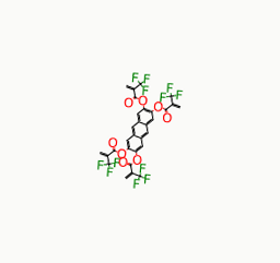 C=C(C(=O)Oc1cc2cc3cc(OC(=O)C(=C)C(F)(F)F)c(OC(=O)C(=C)C(F)(F)F)cc3cc2cc1OC(=O)C(=C)C(F)(F)F)C(F)(F)F